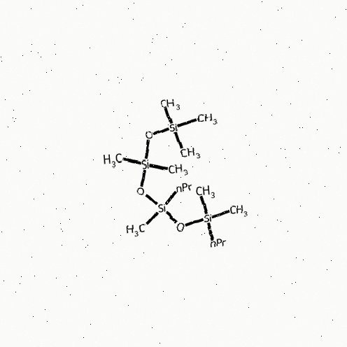 CCC[Si](C)(C)O[Si](C)(CCC)O[Si](C)(C)O[Si](C)(C)C